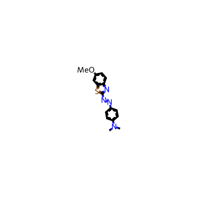 COc1ccc2nc(/N=N/c3ccc(N(C)C)cc3)sc2c1